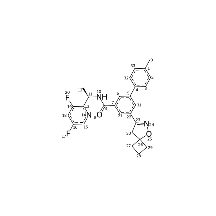 Cc1ccc(-c2cc(C(=O)N[C@H](C)c3ncc(F)cc3F)cc(C3=NOC4(CCC4)C3)c2)cc1